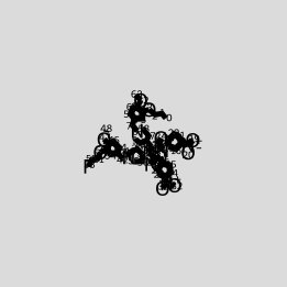 CCCOc1cc(CN2CCC(N(c3nc4cc([N+](=O)[O-])ccc4o3)N(c3nc4cc([N+](=O)[O-])ccc4o3)C3CCN(Cc4ccc(OC)c(OCCF)c4)CC3)CC2)ccc1OC